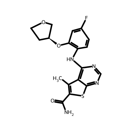 Cc1c(C(N)=O)sc2ncnc(Nc3ccc(F)cc3O[C@H]3CCOC3)c12